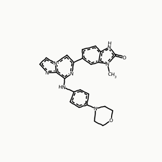 Cn1c(=O)[nH]c2ccc(-c3cn4ccnc4c(Nc4ccc(N5CCOCC5)cc4)n3)cc21